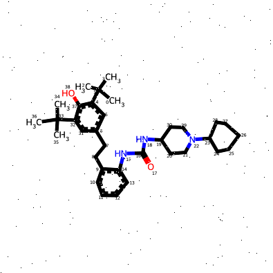 CC(C)(C)c1cc(CCc2ccccc2NC(=O)NC2CCN(C3CCCCC3)CC2)cc(C(C)(C)C)c1O